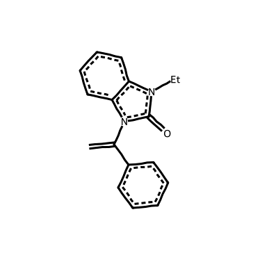 C=C(c1ccccc1)n1c(=O)n(CC)c2ccccc21